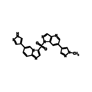 Cn1cc(-c2cnc3cnn(S(=O)(=O)c4cnc5ccc(-c6cn[nH]c6)cn45)c3c2)cn1